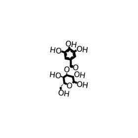 O=C(O[C@H]1[C@H](O)[C@@H](CO)OC(O)[C@@H]1O)c1cc(O)c(O)c(O)c1